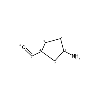 NC1CCC(C=O)C1